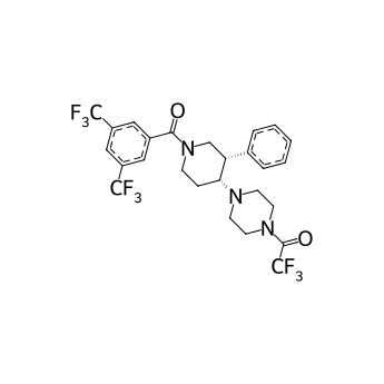 O=C(c1cc(C(F)(F)F)cc(C(F)(F)F)c1)N1CC[C@@H](N2CCN(C(=O)C(F)(F)F)CC2)[C@@H](c2ccccc2)C1